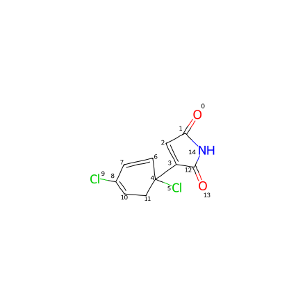 O=C1C=C(C2(Cl)C=CC(Cl)=CC2)C(=O)N1